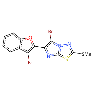 CSc1nn2c(Br)c(-c3oc4ccccc4c3Br)nc2s1